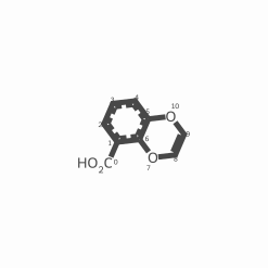 O=C(O)c1cccc2c1OC=CO2